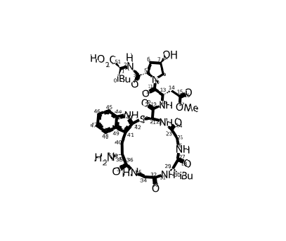 CC[C@H](C)[C@H](NC(=O)[C@@H]1C[C@@H](O)CN1C(=O)[C@H](CC(=O)OC)NC(=O)C1NC(=O)CNC(=O)[C@H]([C@@H](C)CC)NC(=O)CNC(=O)[C@H](N)Cc2c([nH]c3ccccc23)S1)C(=O)O